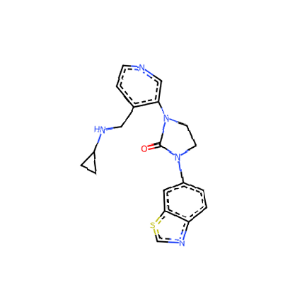 O=C1N(c2ccc3ncsc3c2)CCN1c1cnccc1CNC1CC1